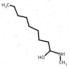 CCCCCCCCC(O)NC